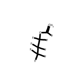 C=C(F)OC(F)(F)C(F)(F)C(F)(F)F